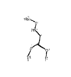 CCCCONCC(OCC)OCC